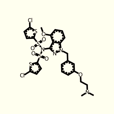 COc1cccc2c1c(N(S(=O)(=O)c1ccc(Cl)s1)S(=O)(=O)c1ccc(Cl)s1)nn2Cc1cccc(OCCN(C)C)c1